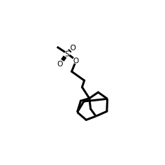 CS(=O)(=O)OCCCC12CC3CC(CC(C3)C1)C2